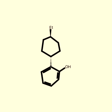 CC[C@H]1CC[C@H](c2ccccc2O)CC1